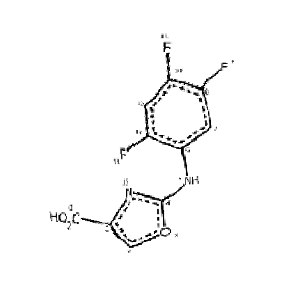 O=C(O)c1coc(Nc2cc(F)c(F)cc2F)n1